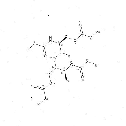 CCC(=O)N[C@@H](COC(=O)CC)C(C)OC(COC(=O)CC)[C@H](C)OC(=O)CC